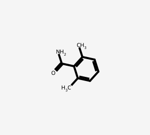 Cc1cccc(C)c1C(N)=O